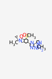 CC(C1CC1)N1Cc2cc(-c3cnc(N)c(-c4ccnn4C)n3)cc([S+](C)[O-])c2C1=O